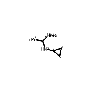 CCCC(NC)NC1CC1